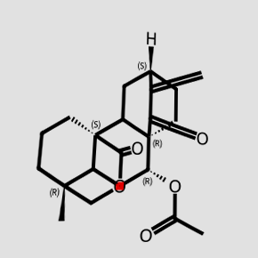 C=C1C(=O)[C@]23CC[C@H]1CC2[C@@]12CCC[C@@](C)(COC1=O)C2C[C@H]3OC(C)=O